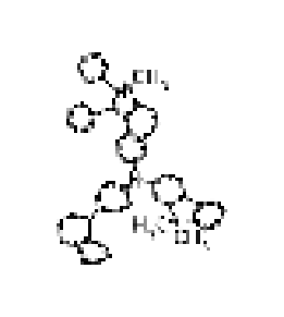 Cn1c(-c2ccccc2)c(-c2ccccc2)c2c3ccc(N(c4ccc(-c5cccc6ccccc56)cc4)c4ccc5c(c4)C(C)(C)c4ccccc4-5)cc3ccc21